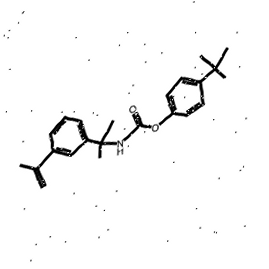 C=C(C)c1cccc(C(C)(C)NC(=O)Oc2ccc(C(C)(C)C)cc2)c1